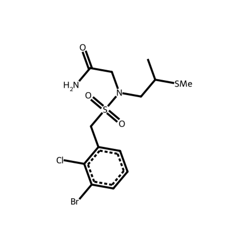 CSC(C)CN(CC(N)=O)S(=O)(=O)Cc1cccc(Br)c1Cl